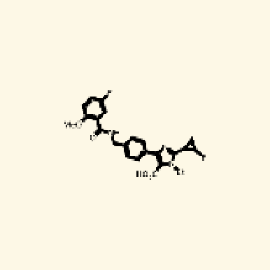 CCn1c(C2CC2F)nc(-c2ccc(CNC(=O)c3cc(F)ccc3OC)cc2)c1C(=O)O